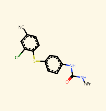 CCCNC(=O)Nc1ccc(Sc2ccc(C#N)cc2Cl)cc1